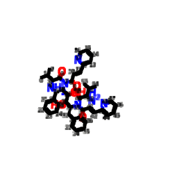 CC(C)[C@H](N)C(=O)N(C(=O)C=Cc1ccccn1)[C@@H](Cc1ccccc1)C(O)C(O)[C@H](Cc1ccccc1)N(C(=O)C=Cc1ccccn1)C(=O)[C@@H](N)C(C)C